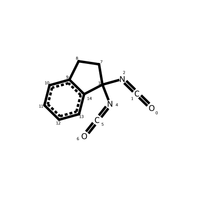 O=C=NC1(N=C=O)CCc2ccccc21